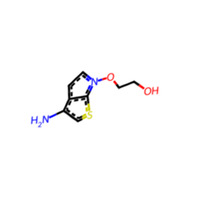 Nc1csc2c1ccn2OCCO